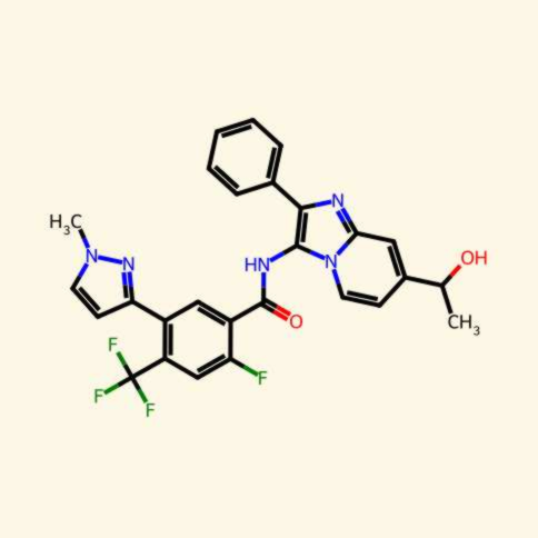 CC(O)c1ccn2c(NC(=O)c3cc(-c4ccn(C)n4)c(C(F)(F)F)cc3F)c(-c3ccccc3)nc2c1